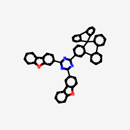 c1ccc2c(c1)-c1ccccc1C1(c3ccc(-c4nc(-c5ccc6c(c5)oc5ccccc56)nc(-c5ccc6oc7ccccc7c6c5)n4)cc3-2)c2ccccc2-c2ccccc21